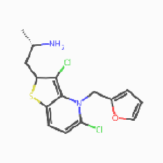 C[C@H](N)CC1SC2=CC=C(Cl)N(Cc3ccco3)C2=C1Cl